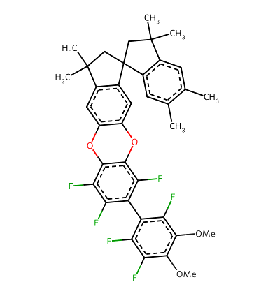 COc1c(F)c(F)c(-c2c(F)c(F)c3c(c2F)Oc2cc4c(cc2O3)C(C)(C)CC42CC(C)(C)c3cc(C)c(C)cc32)c(F)c1OC